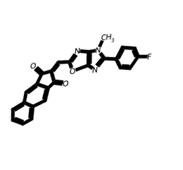 Cn1c(-c2ccc(F)cc2)nc2oc(C=C3C(=O)c4cc5ccccc5cc4C3=O)nc21